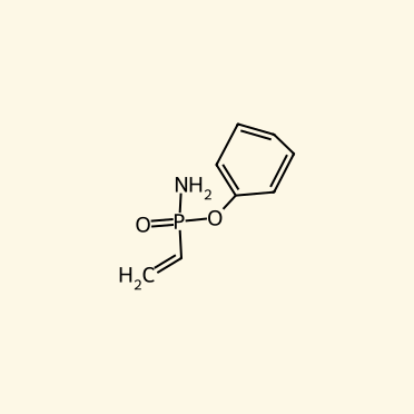 C=CP(N)(=O)Oc1ccccc1